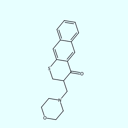 O=C1c2cc3ccccc3cc2SCC1CN1CCOCC1